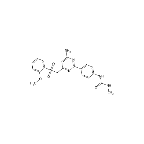 CNC(=O)Nc1ccc(-c2nc(N)cc(CS(=O)(=O)c3ccccc3OC)n2)cc1